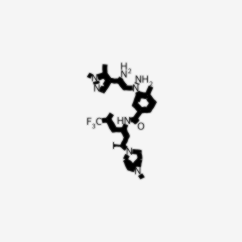 C/C(=C\C(=C/[C@H](I)N1CC2CC1CN2C)NC(=O)c1ccc(C)c(N(N)/C=C(\N)c2cnn(C)c2C)c1)C(F)(F)F